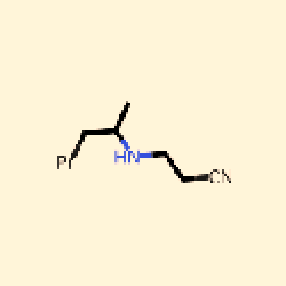 CC(C)CC(C)NCCC#N